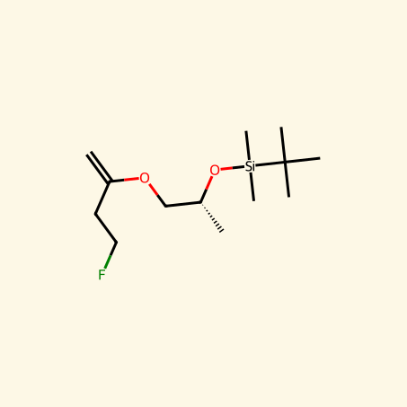 C=C(CCF)OC[C@@H](C)O[Si](C)(C)C(C)(C)C